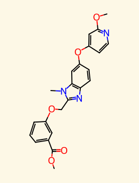 COC(=O)c1cccc(OCc2nc3ccc(Oc4ccnc(OC)c4)cc3n2C)c1